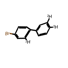 [2H]c1ccc(-c2ccc(Br)cc2[2H])cc1[2H]